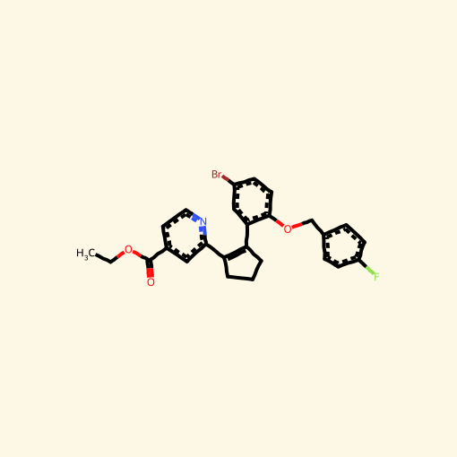 CCOC(=O)c1ccnc(C2=C(c3cc(Br)ccc3OCc3ccc(F)cc3)CCC2)c1